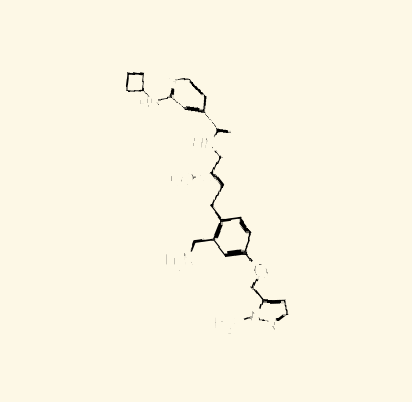 Cn1nccc1COc1ccc(CC[C@H](O)CNC(=O)c2ccnc(NC3CCC3)c2)c(CN)c1